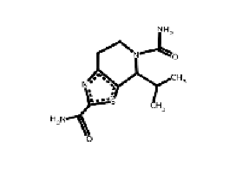 CC(C)C1c2sc(C(N)=O)nc2CCN1C(N)=O